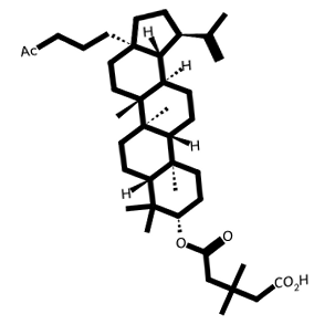 C=C(C)[C@@H]1CC[C@]2(CCCC(C)=O)CC[C@]3(C)[C@H](CC[C@@H]4[C@@]5(C)CC[C@H](OC(=O)CC(C)(C)CC(=O)O)C(C)(C)[C@@H]5CC[C@]43C)[C@@H]12